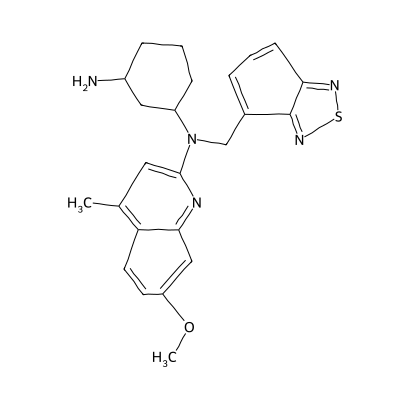 COc1ccc2c(C)cc(N(Cc3cccc4nsnc34)C3CCCC(N)C3)nc2c1